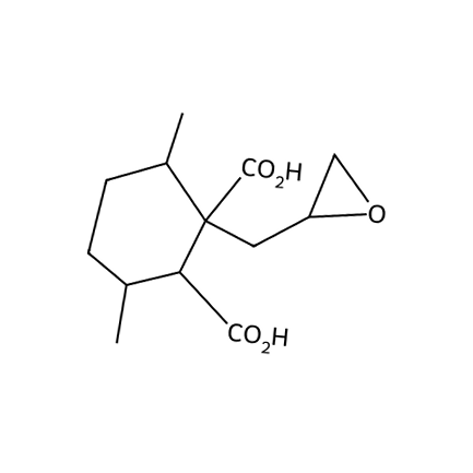 CC1CCC(C)C(CC2CO2)(C(=O)O)C1C(=O)O